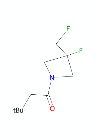 CC(C)(C)CC(=O)N1CC(F)(CF)C1